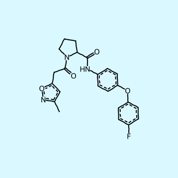 Cc1cc(CC(=O)N2CCCC2C(=O)Nc2ccc(Oc3ccc(F)cc3)cc2)on1